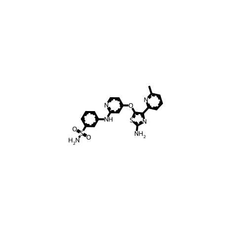 Cc1cccc(-c2nc(N)sc2Oc2ccnc(Nc3cccc(S(N)(=O)=O)c3)c2)n1